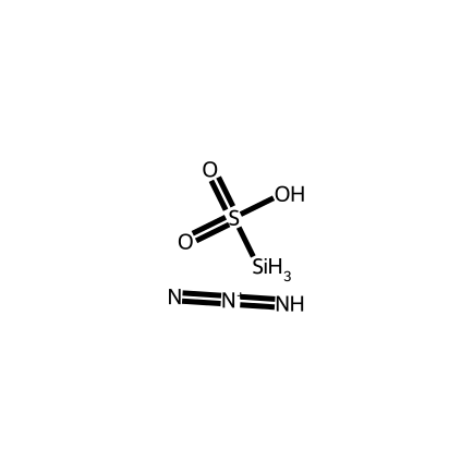 O=S(=O)(O)[SiH3].[N-]=[N+]=N